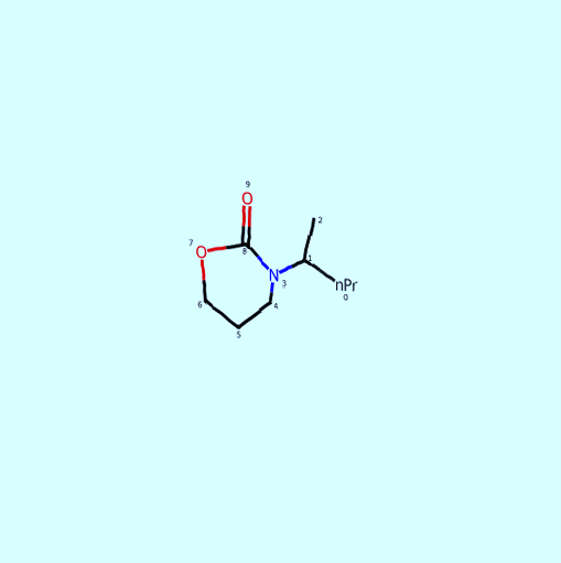 CCCC(C)N1CCCOC1=O